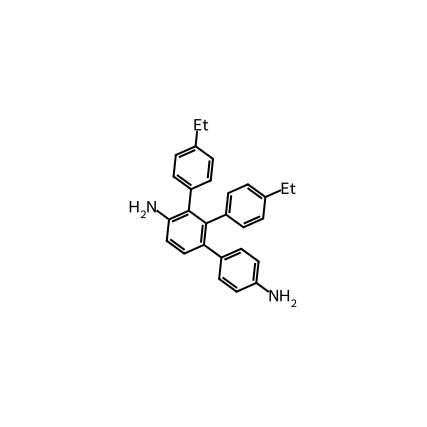 CCc1ccc(-c2c(N)ccc(-c3ccc(N)cc3)c2-c2ccc(CC)cc2)cc1